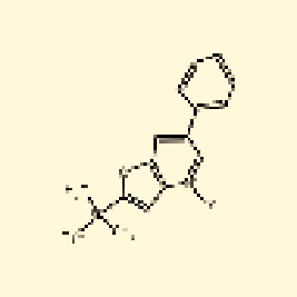 C[Si](C)(C)c1cc2c(cc(-c3ccccc3)c[n+]2[O-])o1